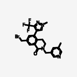 Cc1cncc(CN2CCc3c(cc(CBr)cc3-c3cn(C)nc3C(F)(F)F)C2=O)c1